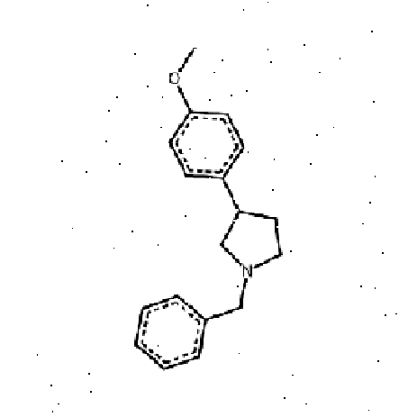 COc1ccc(C2CCN(Cc3ccccc3)C2)cc1